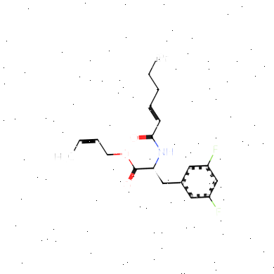 C/C=C\COC(=O)[C@H](Cc1cc(F)cc(F)c1)NC(=O)/C=C/CCC(C)C